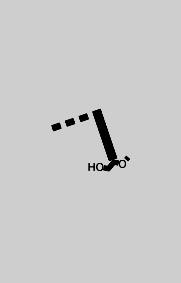 C=C.C=C.C=C.C=C.C=C.C=C.C=C.C=C.C=C.C=C.C=C.C=C.COCCO